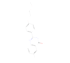 CCOCCOc1ccc(-c2nc3ccc(C(=O)O)cc3c(=O)[nH]2)cc1